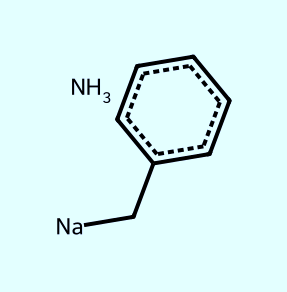 N.[Na][CH2]c1ccccc1